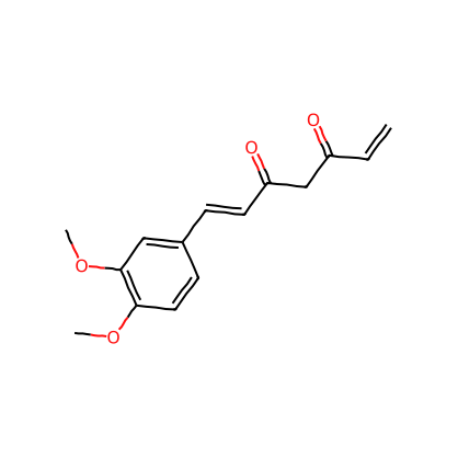 C=CC(=O)CC(=O)C=Cc1ccc(OC)c(OC)c1